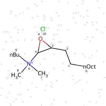 CCCCCCCCCCC1OC1[N+](C)(C)CCCC.[Cl-]